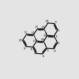 C1=Cc2ccc3ccc4cccc5cc(c2c3c45)C1